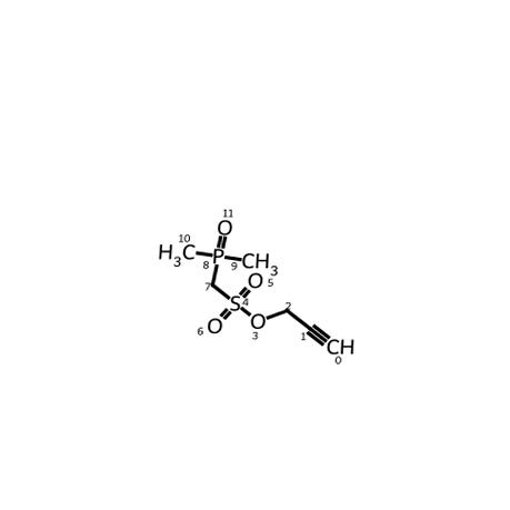 C#CCOS(=O)(=O)CP(C)(C)=O